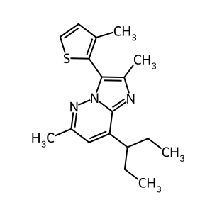 CCC(CC)c1cc(C)nn2c(-c3sccc3C)c(C)nc12